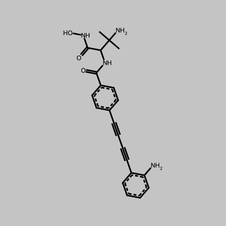 CC(C)(N)C(NC(=O)c1ccc(C#CC#Cc2ccccc2N)cc1)C(=O)NO